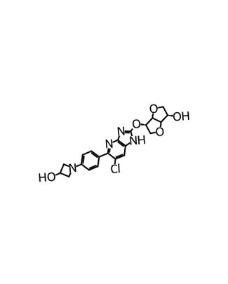 OC1CN(c2ccc(-c3nc4nc(O[C@@H]5COC6C5OC[C@H]6O)[nH]c4cc3Cl)cc2)C1